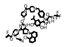 C=C(F)C(=O)N1CCN(c2nc(OC[C@@H]3CCN(C(=O)C4CCN(Cc5ccc(-n6c(C(=O)NCC(F)(F)F)nnc6-c6cc(C(C)C)c(O)cc6O)cc5)CC4)C3)nc3c2CCN(c2cccc4cccc(Cl)c24)C3)C[C@@H]1CC#N